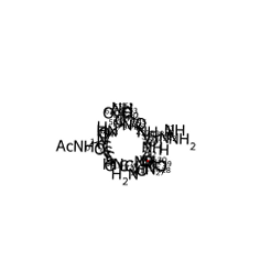 CC(=O)NCC(=O)NC1CCCC(=O)NCCC(C(N)=O)NC(=O)[C@H](Cc2c[nH]c3ccccc23)NC(=O)[C@H](CCCNC(=N)N)NC(=O)C(Cc2ccccc2)NC(=O)[C@H](CCC(N)=O)NC1=O